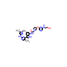 Cc1cnc(Nc2cc(C)n(C)n2)nc1-c1c[nH]c2c(NC(=O)CN3CCC(Oc4cncc(NCCO)n4)C3)cccc12